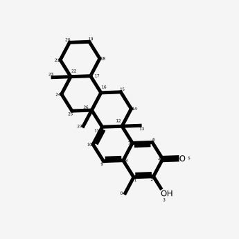 CC1=C(O)C(=O)C=C2C1=CC=C1C2(C)CCC2C3CCCCC3(C)CCC12C